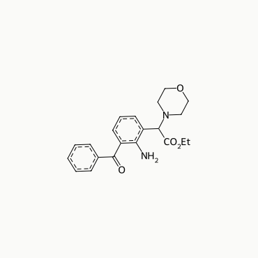 CCOC(=O)C(c1cccc(C(=O)c2ccccc2)c1N)N1CCOCC1